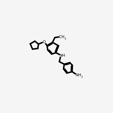 CCc1cc(NCc2ccc(N)cc2)ccc1OC1CCCC1